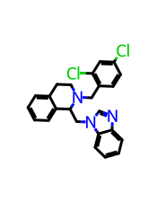 Clc1ccc(CN2CCc3ccccc3C2Cn2cnc3ccccc32)c(Cl)c1